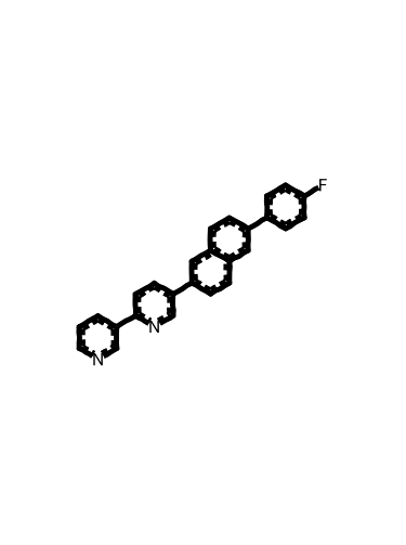 Fc1ccc(-c2ccc3cc(-c4ccc(-c5cccnc5)nc4)ccc3c2)cc1